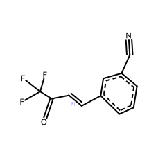 N#Cc1cccc(/C=C/C(=O)C(F)(F)F)c1